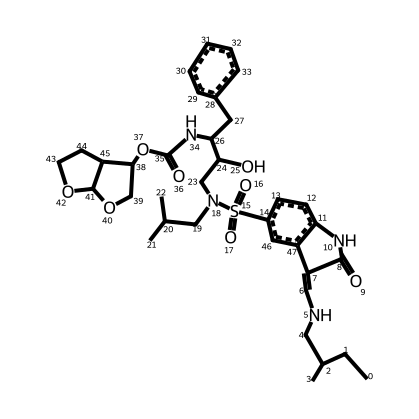 CCC(C)CNC=C1C(=O)Nc2ccc(S(=O)(=O)N(CC(C)C)CC(O)C(Cc3ccccc3)NC(=O)OC3COC4OCCC34)cc21